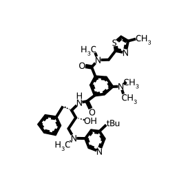 Cc1csc(CN(C)C(=O)c2cc(C(=O)N[C@@H](Cc3ccccc3)[C@H](O)CN(C)c3cncc(C(C)(C)C)c3)cc(N(C)C)c2)n1